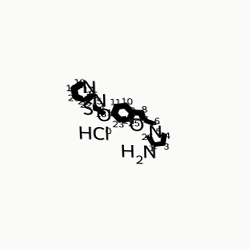 Cl.NC1CCN(Cc2cc3ccc(Oc4nc5ncccc5s4)cc3o2)C1